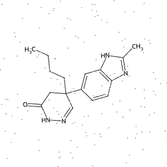 CCCCC1(c2ccc3nc(C)[nH]c3c2)C=NNC(=O)C1